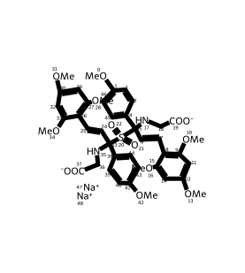 COc1ccc(C(/C=C/c2c(OC)cc(OC)cc2OC)(NCC(=O)[O-])S(=O)(=O)C(/C=C/c2c(OC)cc(OC)cc2OC)(NCC(=O)[O-])c2ccc(OC)cc2)cc1.[Na+].[Na+]